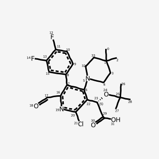 CC1(C)CCN(c2c(-c3ccc(F)c(F)c3)c(C=O)nc(Cl)c2[C@H](OC(C)(C)C)C(=O)O)CC1